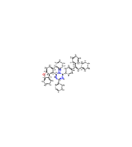 c1ccc(C2=NC(c3ccc(-c4cc5ccccc5c5ccccc45)cc3)NC(c3c(-c4ccccc4)ccc4oc5ccccc5c34)=N2)cc1